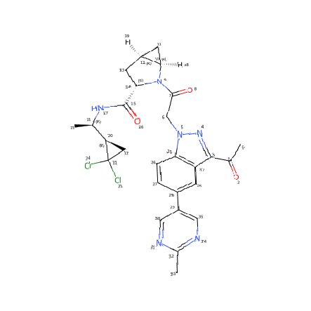 CC(=O)c1nn(CC(=O)N2[C@@H]3C[C@@H]3C[C@H]2C(=O)N[C@H](C)[C@H]2CC2(Cl)Cl)c2ccc(-c3cnc(C)nc3)cc12